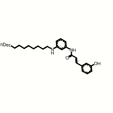 CCCCCCCCCCCCCCCCCCNc1cccc(NC(=O)/C=C/c2cccc(O)c2)c1